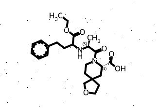 CCOC(=O)C(CCc1ccccc1)N[C@@H](C)C(=O)N1CCC2(CCOC2)C[C@H]1C(=O)O